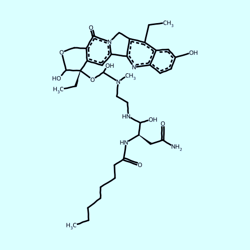 CCCCCCCC(=O)N[C@H](CC(N)=O)C(O)NCCN(C)C(O)O[C@@]1(CC)c2cc3n(c(=O)c2COC1O)Cc1c-3nc2ccc(O)cc2c1CC